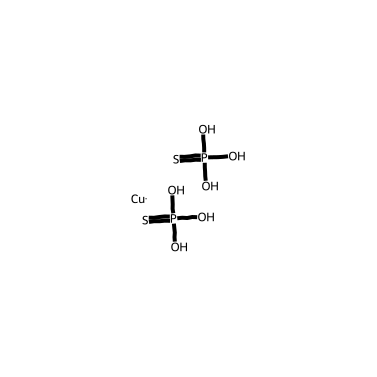 OP(O)(O)=S.OP(O)(O)=S.[Cu]